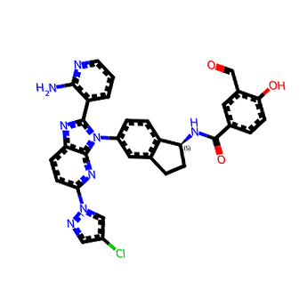 Nc1ncccc1-c1nc2ccc(-n3cc(Cl)cn3)nc2n1-c1ccc2c(c1)CC[C@@H]2NC(=O)c1ccc(O)c(C=O)c1